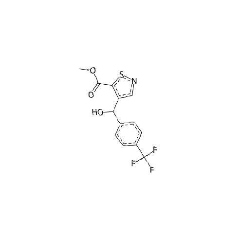 COC(=O)c1sncc1C(O)c1ccc(C(F)(F)F)cc1